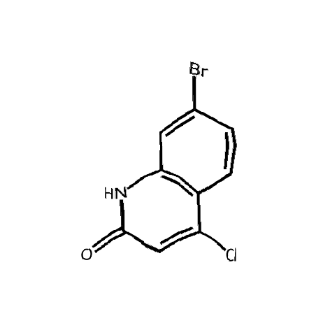 O=c1cc(Cl)c2ccc(Br)cc2[nH]1